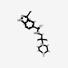 Cc1n[nH]c2ccc(C(=O)NCC(C)(C)N3CCOCC3)cc12